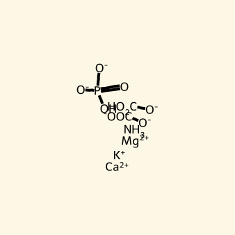 N.O=C([O-])O.O=C([O-])[O-].O=P([O-])([O-])O.[Ca+2].[K+].[Mg+2]